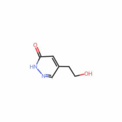 O=c1cc(CCO)[c]n[nH]1